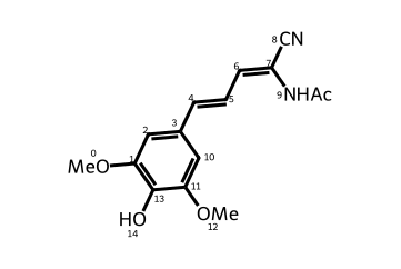 COc1cc(C=CC=C(C#N)NC(C)=O)cc(OC)c1O